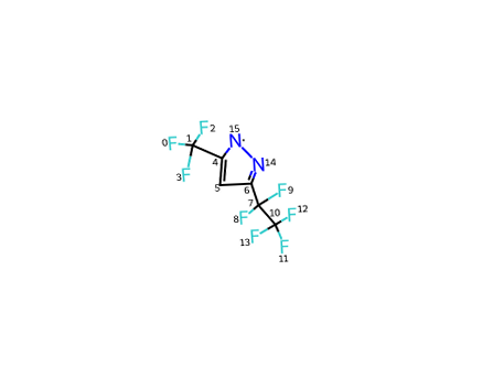 FC(F)(F)C1=CC(C(F)(F)C(F)(F)F)=N[N]1